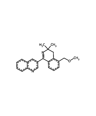 COCc1cccc2c1CC(C)(C)N=C2c1cnc2ccccc2c1